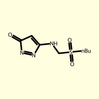 CCCCS(=O)(=O)CNC1=CC(=O)N=N1